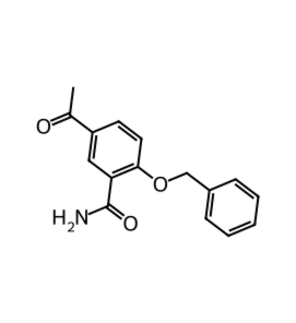 CC(=O)c1ccc(OCc2ccccc2)c(C(N)=O)c1